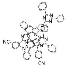 N#Cc1ccc(-c2ccc(-n3c4ccccc4c4cc(-c5nc(-c6ccccc6)nc(-c6ccccc6)n5)ccc43)c(-c3nc(-c4ccccc4)nc(-c4cc(C#N)ccc4-n4c5ccccc5c5cc(-c6nc(-c7ccccc7)nc(-c7ccccc7)n6)ccc54)n3)c2)cc1